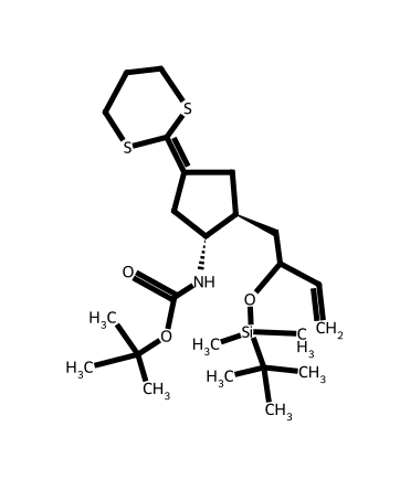 C=CC(C[C@@H]1CC(=C2SCCCS2)C[C@H]1NC(=O)OC(C)(C)C)O[Si](C)(C)C(C)(C)C